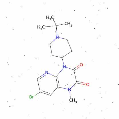 Cn1c(=O)c(=O)n(C2CCN(C(C)(C)C)CC2)c2ncc(Br)cc21